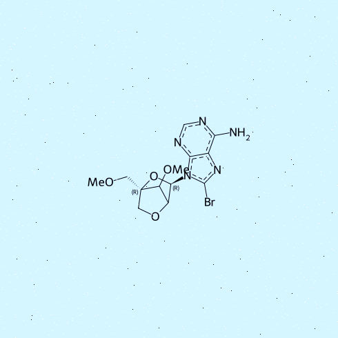 COC[C@@]12COC(C1OC)[C@H](n1c(Br)nc3c(N)ncnc31)O2